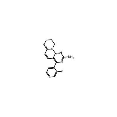 Nc1nc(-c2ccccc2F)c2c(n1)N1CCCN=C1C=C2